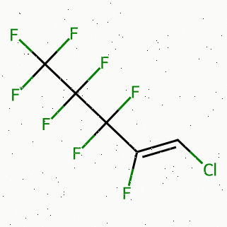 FC(=CCl)C(F)(F)C(F)(F)C(F)(F)F